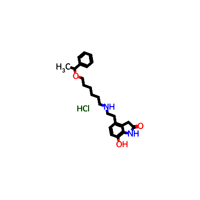 CC(OCCCCCCNCCc1ccc(O)c2c1CC(=O)N2)c1ccccc1.Cl